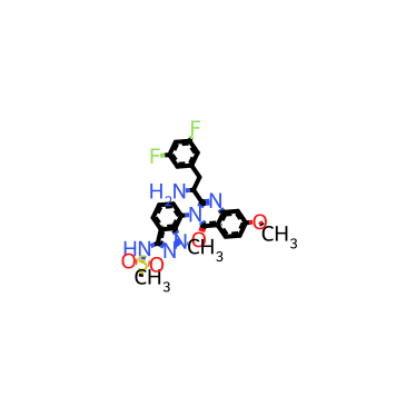 COc1ccc2c(=O)n(-c3cccc4c(NS(C)(=O)=O)nn(C)c34)c(C(N)Cc3cc(F)cc(F)c3)nc2c1